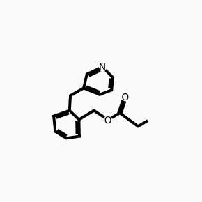 CCC(=O)OCc1ccccc1Cc1cccnc1